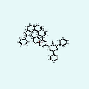 c1ccc(C2=NC(c3cccc(-c4ccc5ccc6ccc7nc(-c8ccccc8)n(-c8ccccc8)c7c6c5c4)c3)NC(c3ccccc3)=N2)cc1